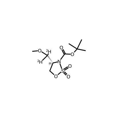 [2H]C([2H])(OC)[C@H]1COS(=O)(=O)N1C(=O)OC(C)(C)C